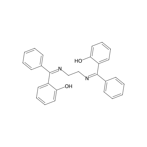 Oc1ccccc1/C(=N\CC/N=C(/c1ccccc1)c1ccccc1O)c1ccccc1